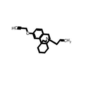 C#CCOc1ccc2c(c1)C13CCCCC1C(C2)N(CC=C)CC3